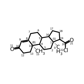 C[C@]12CCC3C(CCC4=CC(=O)CC[C@@]43C)C1CCC2C(=O)Cl